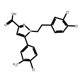 Cc1cc(-c2cc(C(=O)O)nn2CCc2ccc(Cl)c(Cl)c2)ccc1Cl